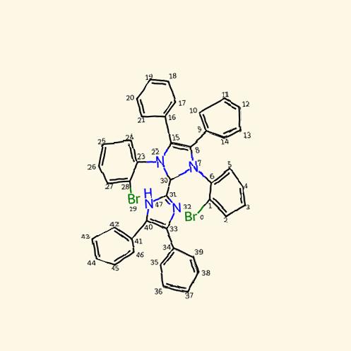 Brc1ccccc1N1C(c2ccccc2)=C(c2ccccc2)N(c2ccccc2Br)C1c1nc(-c2ccccc2)c(-c2ccccc2)[nH]1